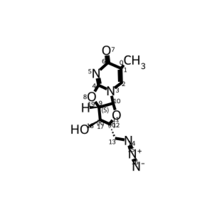 Cc1cn2c(nc1=O)O[C@@H]1C2O[C@H](CN=[N+]=[N-])[C@H]1O